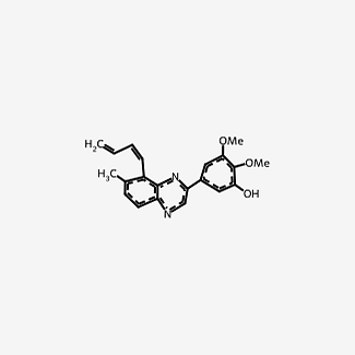 C=C/C=C\c1c(C)ccc2ncc(-c3cc(O)c(OC)c(OC)c3)nc12